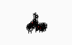 CC(C)c1cccc(-c2ccc3c(=O)n(-c4ccc(Cl)c5c(NS(C)(=O)=O)nn(C)c45)c([C@H](Cc4cc(F)cc(F)c4)NC(=O)Cn4nc(C(F)F)c5c4C(F)(F)[C@@H]4C[C@H]54)nc3c2)c1